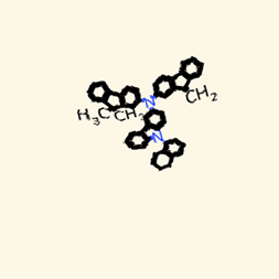 C=C1c2ccccc2-c2ccc(N(c3ccc4c(c3)C(C)(C)c3ccccc3-4)c3ccc4c(c3)c3ccccc3n4-c3cccc4c3C=CCC4)cc21